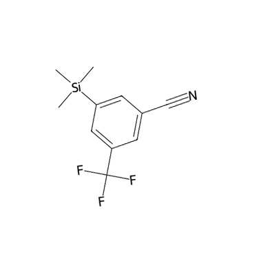 C[Si](C)(C)c1cc(C#N)cc(C(F)(F)F)c1